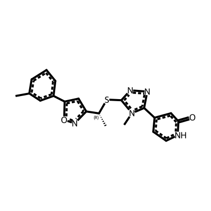 Cc1cccc(-c2cc([C@@H](C)Sc3nnc(-c4cc[nH]c(=O)c4)n3C)no2)c1